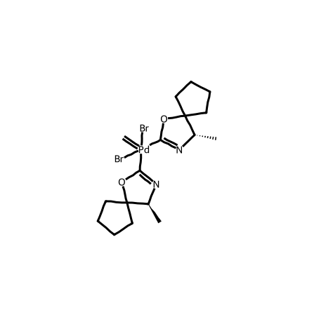 [CH2]=[Pd]([Br])([Br])([C]1=N[C@@H](C)C2(CCCC2)O1)[C]1=N[C@@H](C)C2(CCCC2)O1